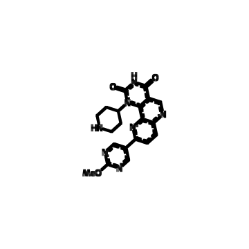 COc1ncc(-c2ccc3ncc4c(=O)[nH]c(=O)n(C5CCNCC5)c4c3n2)cn1